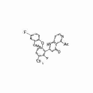 COc1cc(F)ccc1Oc1ccc(C(F)(F)F)c(F)c1-c1cc(=O)c2c(C(C)=O)nccc2[nH]1